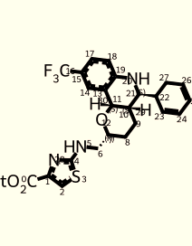 CCOC(=O)c1csc(NC[C@H]2CC[C@@H]3[C@H](O2)c2cc(C(F)(F)F)ccc2N[C@H]3C2C=CC=CC2)n1